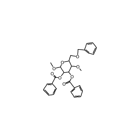 COC1OC(COCc2ccccc2)C(OC)C(OC(=O)c2ccccc2)C1OC(=O)c1ccccc1